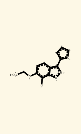 O=C(O)COc1ccc2c(-c3cccs3)noc2c1Cl